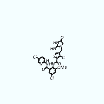 COc1cc(Cl)cc(C(=O)Nc2ccc(Cl)cn2)c1NC(=O)c1scc(CN2CC(=O)NC2=N)c1Cl